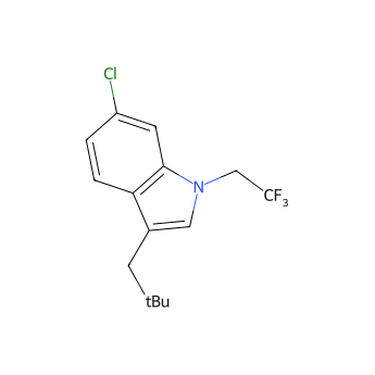 CC(C)(C)Cc1cn(CC(F)(F)F)c2cc(Cl)ccc12